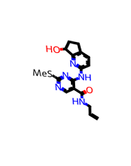 C=CCNC(=O)c1cnc(SC)nc1Nc1ccc2c(n1)C(O)CC2